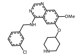 COc1cc2ncnc(NCc3cccc(Cl)c3)c2cc1OC1CCNCC1